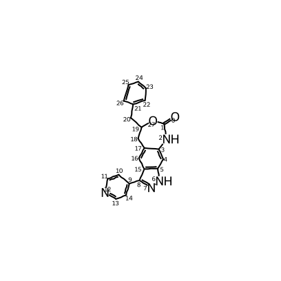 O=C1Nc2cc3[nH]nc(-c4ccncc4)c3cc2CC(Cc2ccccc2)O1